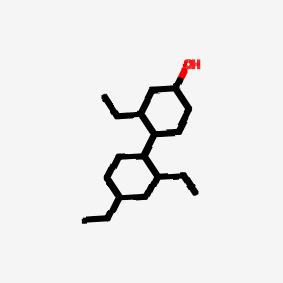 CCC1CCC(C2CCC(O)CC2CC)C(CC)C1